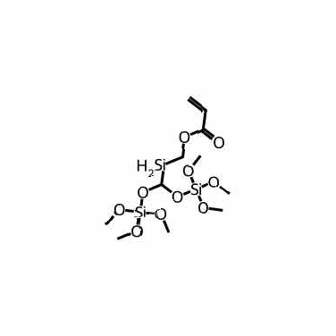 C=CC(=O)OC[SiH2]C(O[Si](OC)(OC)OC)O[Si](OC)(OC)OC